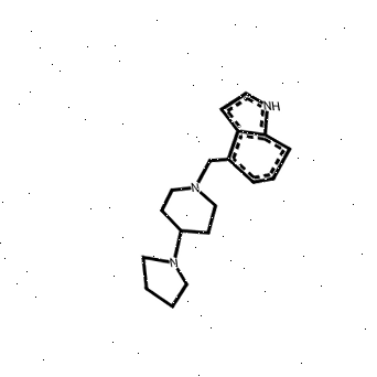 c1cc(CN2CCC(N3CCCC3)CC2)c2cc[nH]c2c1